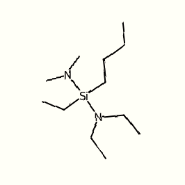 CCCC[Si](CC)(N(C)C)N(CC)CC